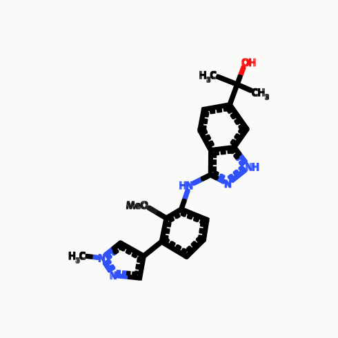 COc1c(Nc2n[nH]c3cc(C(C)(C)O)ccc23)cccc1-c1cnn(C)c1